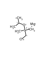 CC(C)O[Si](C)(C)CCl.[Mg]